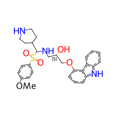 COc1ccc(S(=O)(=O)C(NC[C@H](O)COc2cccc3[nH]c4ccccc4c23)C2CCNCC2)cc1